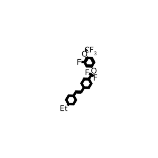 CCC1CCC(/C=C/C2CCC(C(F)(F)Oc3ccc(OC(F)(F)F)c(F)c3)CC2)CC1